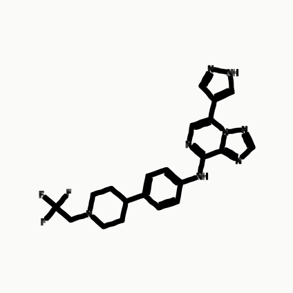 FC(F)(F)CN1CCC(c2ccc(Nc3ncc(-c4cn[nH]c4)n4ncnc34)cc2)CC1